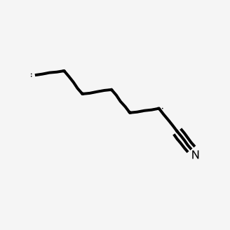 [CH]CCCC[CH]C#N